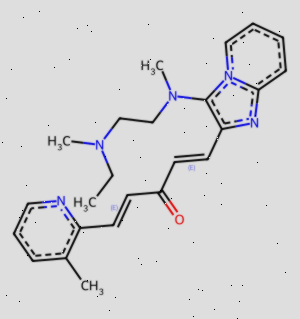 CCN(C)CCN(C)c1c(/C=C/C(=O)/C=C/c2ncccc2C)nc2ccccn12